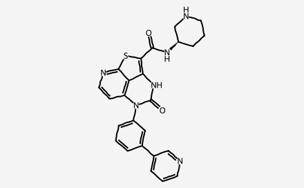 O=C(N[C@@H]1CCCNC1)c1sc2nccc3c2c1NC(=O)N3c1cccc(-c2cccnc2)c1